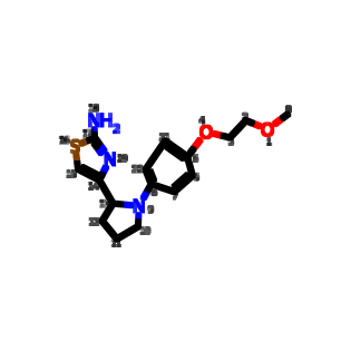 COCCOc1ccc(N2CCCC2c2csc(N)n2)cc1